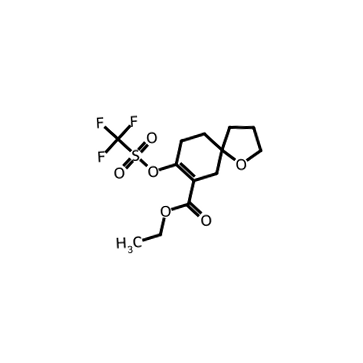 CCOC(=O)C1=C(OS(=O)(=O)C(F)(F)F)CCC2(CCCO2)C1